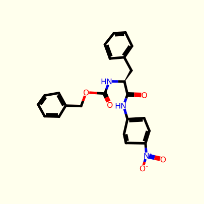 O=C(N[C@@H](Cc1ccccc1)C(=O)Nc1ccc([N+](=O)[O-])cc1)OCc1ccccc1